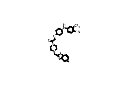 N#Cc1ccc(N[C@H]2CC[C@H](OCC(=O)N3CCN(Cc4nc5cc(F)ccc5s4)CC3)CC2)cc1C(F)(F)F